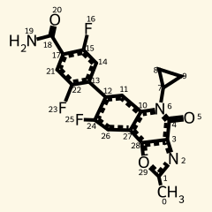 Cc1nc2c(=O)n(C3CC3)c3cc(-c4cc(F)c(C(N)=O)cc4F)c(F)cc3c2o1